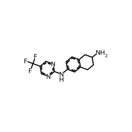 NC1CCc2cc(Nc3ncc(C(F)(F)F)cn3)ccc2C1